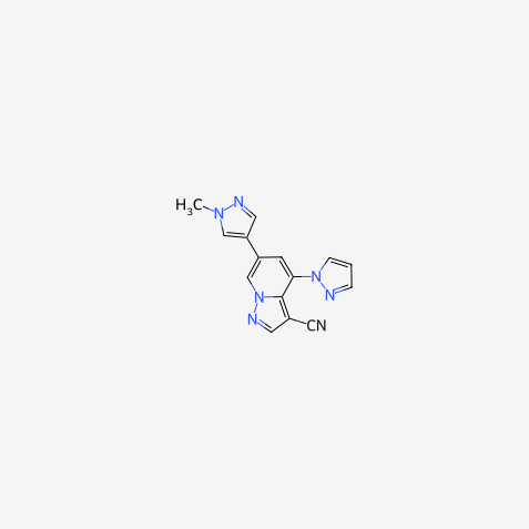 Cn1cc(-c2cc(-n3cccn3)c3c(C#N)cnn3c2)cn1